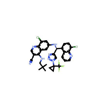 CC(C)(C)CNc1c(C#N)cnc2c(Cl)cc(N[C@H](c3cn(C4(C(F)(F)F)CC4)nn3)c3ccc(Cl)c4ncccc34)cc12